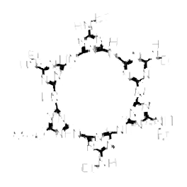 CCNc1nc2nc(n1)[nH]c1nc(NCC)nc(n1)[nH]c1nc(NCC)nc(n1)[nH]c1nc(OC)nc(n1)[nH]c1nc(NCC)nc(n1)[nH]c1nc(NCC)nc(n1)[nH]2